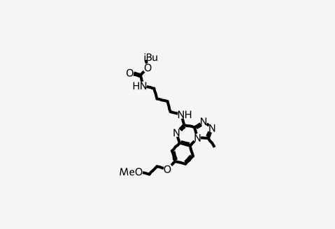 CCC(C)OC(=O)NCCCCNc1nc2cc(OCCOC)ccc2n2c(C)nnc12